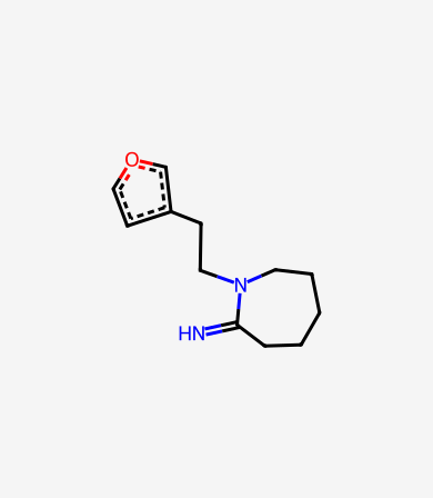 N=C1CCCCCN1CCc1ccoc1